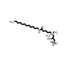 CCCCCCCCCCCCNC(=O)CCCC[N+](C)(C)CC(O)CS(=O)(=O)[O-]